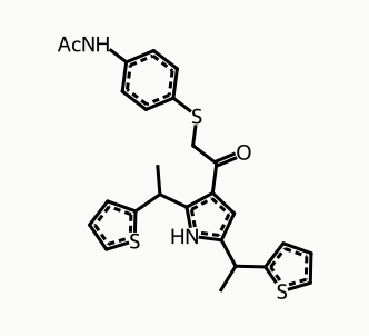 CC(=O)Nc1ccc(SCC(=O)c2cc(C(C)c3cccs3)[nH]c2C(C)c2cccs2)cc1